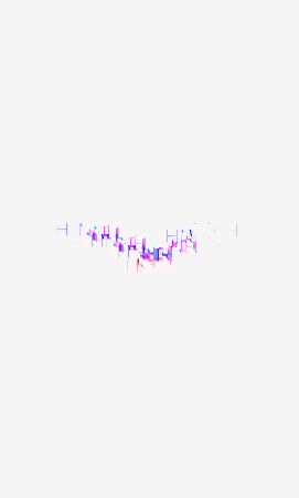 NCC(=O)NCC(=O)NCC(=O)NCC(=O)NCC(=O)N[C@@H](CO)C(=O)NCC(=O)NCC(=O)NCC(=O)O